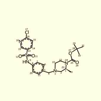 C[C@H]1CN(Cc2ccc(NS(=O)(=O)c3ccc(Cl)nc3)cc2)CCN1C(=O)OC(C)(C)C